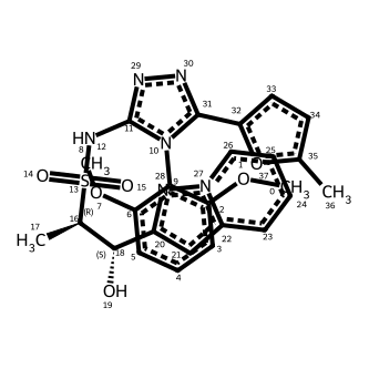 COc1cccc(OC)c1-n1c(NS(=O)(=O)[C@H](C)[C@@H](O)c2cc3ccccn3n2)nnc1-c1ccc(C)o1